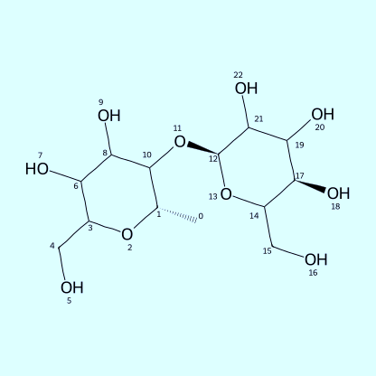 C[C@@H]1OC(CO)C(O)C(O)C1O[C@@H]1OC(CO)[C@H](O)C(O)C1O